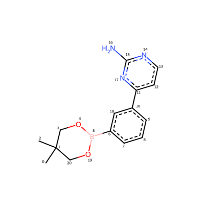 CC1(C)COB(c2cccc(-c3ccnc(N)n3)c2)OC1